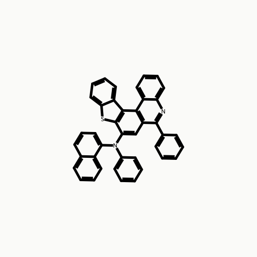 c1ccc(-c2nc3ccccc3c3c2cc(N(c2ccccc2)c2cccc4ccccc24)c2sc4ccccc4c23)cc1